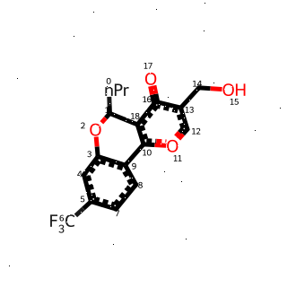 CCCC1Oc2cc(C(F)(F)F)ccc2-c2occ(CO)c(=O)c21